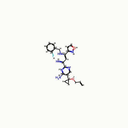 C=CCOC1(c2cnc(C(=N)/C=C(\NCc3ccccc3F)c3ccon3)nc2N)CC1